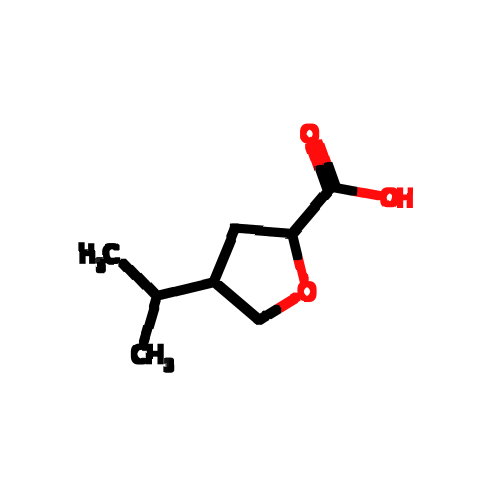 CC(C)C1COC(C(=O)O)C1